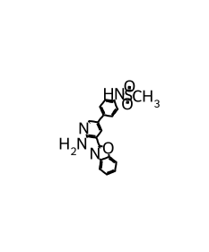 CS(=O)(=O)Nc1ccc(-c2cnc(N)c(-c3nc4ccccc4o3)c2)cc1